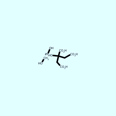 CC(C)O.CO.O=C(O)CC(O)(CC(=O)O)C(=O)O